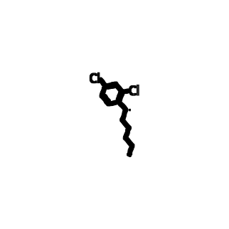 CCCCC[CH]c1ccc(Cl)cc1Cl